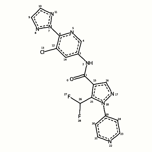 O=C(Nc1cnc(-n2nccn2)c(Cl)c1)c1cnn(-c2ccncc2)c1C(F)F